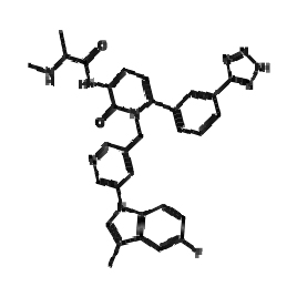 CNC(C)C(=O)Nc1ccc(-c2cccc(-c3nn[nH]n3)c2)n(Cc2cncc(-n3cc(C)c4cc(F)ccc43)c2)c1=O